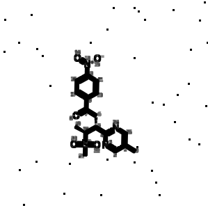 Cc1cnc([C@@H](CC(=O)c2ccc([N+](=O)[O-])cc2)[C@H](C)S(C)(=O)=O)nc1